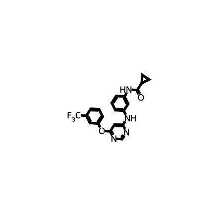 O=C(Nc1cccc(Nc2cc(Oc3cccc(C(F)(F)F)c3)ncn2)c1)C1CC1